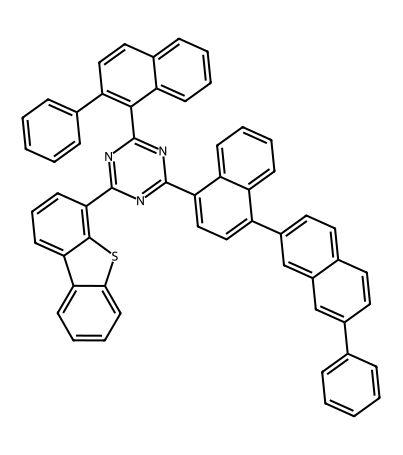 c1ccc(-c2ccc3ccc(-c4ccc(-c5nc(-c6c(-c7ccccc7)ccc7ccccc67)nc(-c6cccc7c6sc6ccccc67)n5)c5ccccc45)cc3c2)cc1